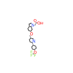 O=C(O)Cn1ccc2ccc(OCc3ccc(-c4ccc(OC(F)(F)F)cc4)nc3)cc21